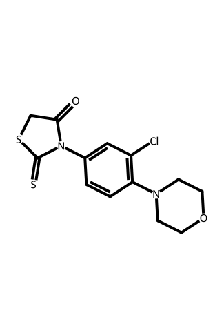 O=C1CSC(=S)N1c1ccc(N2CCOCC2)c(Cl)c1